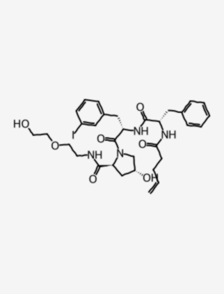 C=CCCC(=O)N[C@@H](Cc1ccccc1)C(=O)N[C@@H](Cc1cccc(I)c1)C(=O)N1C[C@H](O)C[C@H]1C(=O)NCCOCCO